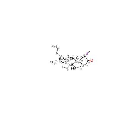 CC(C)CCCC(C)C1CCC2[C@@H]3CCC4CC(=O)C(I)=C[C@]4(C)C3CC[C@]12C